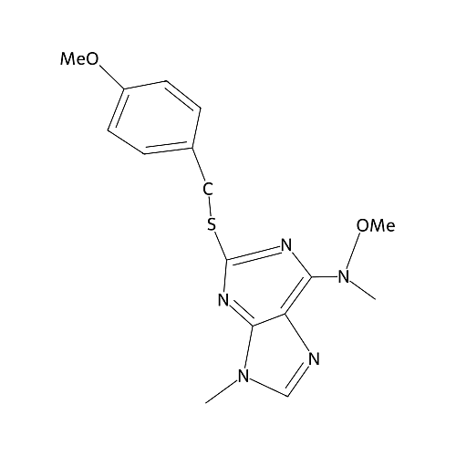 COc1ccc(CSc2nc(N(C)OC)c3ncn(C)c3n2)cc1